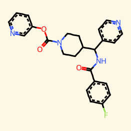 O=C(NC(c1ccncc1)C1CCN(C(=O)Oc2cccnc2)CC1)c1ccc(F)cc1